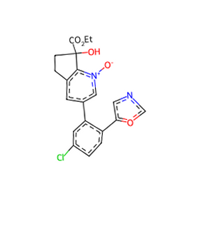 CCOC(=O)C1(O)CCc2cc(-c3cc(Cl)ccc3-c3cnco3)c[n+]([O-])c21